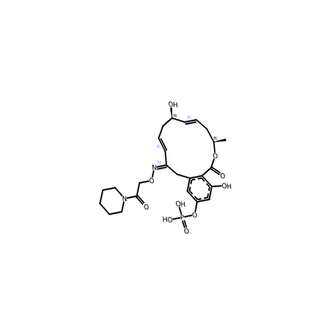 C[C@@H]1C/C=C/[C@H](O)C/C=C/C(=N/OCC(=O)N2CCCCC2)Cc2cc(OP(=O)(O)O)cc(O)c2C(=O)O1